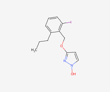 CCCc1cccc(I)c1COc1ccn(O)n1